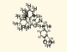 [2H]c1c([2H])c([2H])c(C(C(N)=O)(c2c([2H])c([2H])c([2H])c([2H])c2[2H])[C@@H]2CCN(CC([2H])([2H])c3ccc4c(c3)CC([2H])([2H])O4)C2)c([2H])c1[2H]